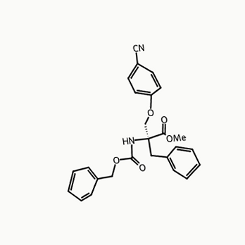 COC(=O)[C@@](COc1ccc(C#N)cc1)(Cc1ccccc1)NC(=O)OCc1ccccc1